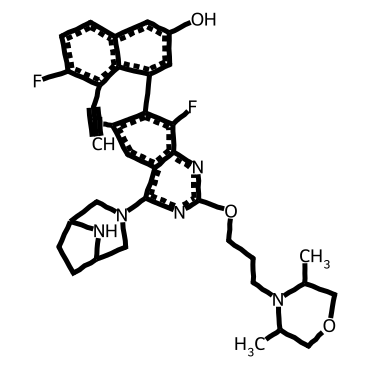 C#Cc1c(F)ccc2cc(O)cc(-c3c(Cl)cc4c(N5CC6CCC(C5)N6)nc(OCCCN5C(C)COCC5C)nc4c3F)c12